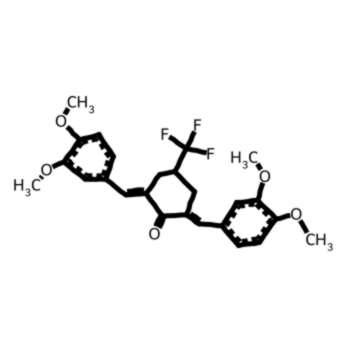 COc1ccc(C=C2CC(C(F)(F)F)CC(=Cc3ccc(OC)c(OC)c3)C2=O)cc1OC